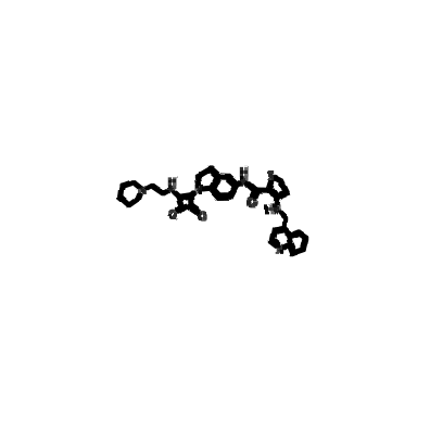 O=C(Nc1ccc2c(c1)CCN2c1c(NCCN2CCCCC2)c(=O)c1=O)c1sccc1NCc1ccnc2ccccc12